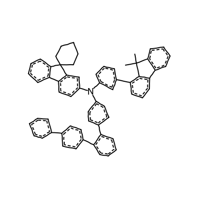 CC1(C)c2ccccc2-c2cccc(-c3cccc(N(c4ccc(-c5ccccc5-c5ccc(-c6ccccc6)cc5)cc4)c4ccc5c(c4)C4(CCCCC4)c4ccccc4-5)c3)c21